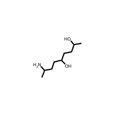 CC(N)CCC(O)CCC(C)O